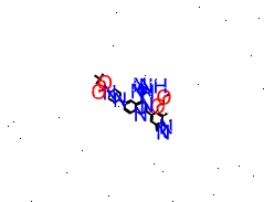 COCOc1c(-c2nc(-c3nn[nH]n3)c3cc(N4CCN(C(=O)OC(C)(C)C)CC4)ccc3n2)cc2cn(C)nc2c1C